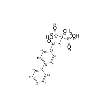 CC(CC(=O)c1ccc(-c2ccccc2)cc1)(C(=O)O)C(=O)O